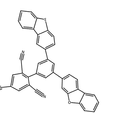 N#Cc1cc(C#N)c(-c2cc(-c3ccc4c(c3)oc3ccccc34)cc(-c3ccc4sc5ccccc5c4c3)c2)c(C#N)c1